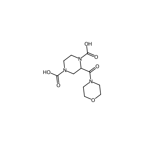 O=C(O)N1CCN(C(=O)O)C(C(=O)N2CCOCC2)C1